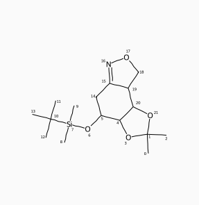 CC1(C)OC2C(O[Si](C)(C)C(C)(C)C)CC3=NOCC3C2O1